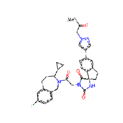 CNC(=O)Cn1cc(-c2ccc3c(c2)CCC32NC(=O)N(CC(=O)N3Cc4ccc(F)cc4CCC3C3CC3)C2=O)cn1